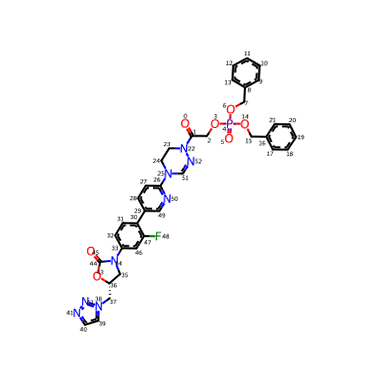 O=C(COP(=O)(OCc1ccccc1)OCc1ccccc1)N1CCN(c2ccc(-c3ccc(N4C[C@H](Cn5ccnn5)OC4=O)cc3F)cn2)C=N1